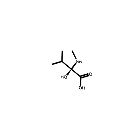 CN[C@](O)(C(=O)O)C(C)C